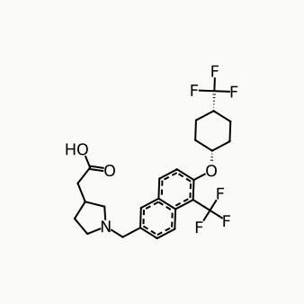 O=C(O)CC1CCN(Cc2ccc3c(C(F)(F)F)c(O[C@H]4CC[C@@H](C(F)(F)F)CC4)ccc3c2)C1